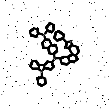 c1ccc(-c2nc3c(ccc4ccc5ccc(N(c6ccc7cc(N(c8ccccc8)c8ccccc8)ccc7c6)c6ccc7c(c6)c6ccccc6n7-c6ccccc6)cc5c43)o2)cc1